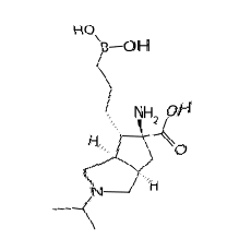 CC(C)N1C[C@@H]2C[C@@](N)(C(=O)O)[C@@H](CCCB(O)O)[C@@H]2C1